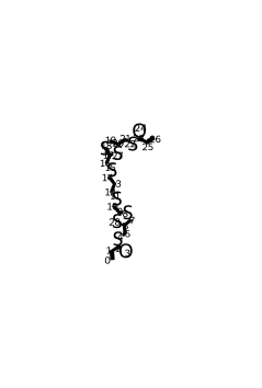 C=CC(=O)SCC1CSC(CSCCCSCC2SCC(CSC(=O)C=C)S2)S1